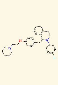 Fc1ccc(N2CCc3c[c]ccc3C2Cc2ccc(OCCN3CCCCC3)cc2)cc1